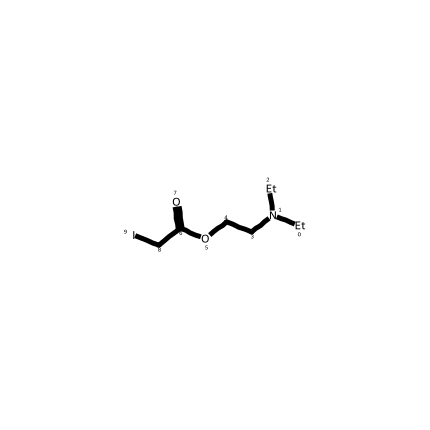 CCN(CC)CCOC(=O)CI